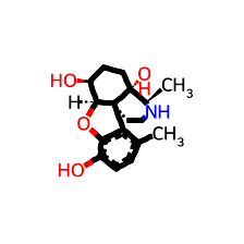 Cc1ccc(O)c2c1[C@]13CCN[C@H](C)[C@]1(O)CC[C@H](O)[C@@H]3O2